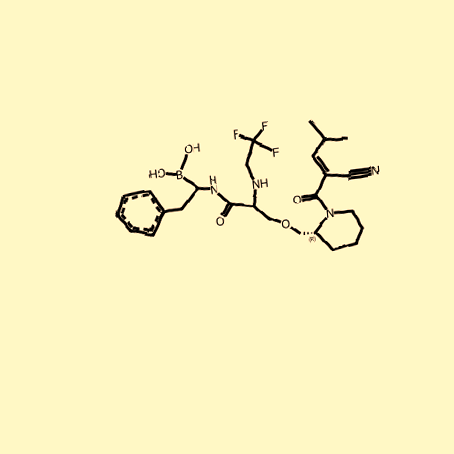 CC(C)C=C(C#N)C(=O)N1CCCC[C@@H]1COCC(NCC(F)(F)F)C(=O)NC(Cc1ccccc1)B(O)O